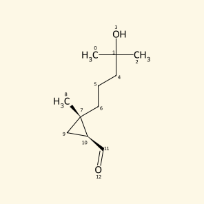 CC(C)(O)CCC[C@@]1(C)C[C@@H]1C=O